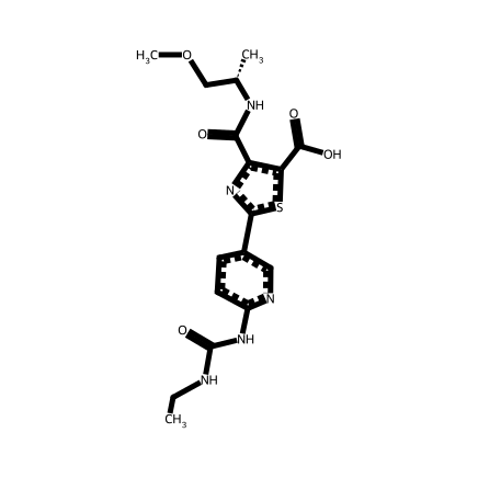 CCNC(=O)Nc1ccc(-c2nc(C(=O)N[C@@H](C)COC)c(C(=O)O)s2)cn1